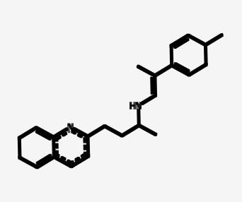 C/C(=C\NC(C)CCc1ccc2c(n1)=CCCC=2)C1=CCC(C)C=C1